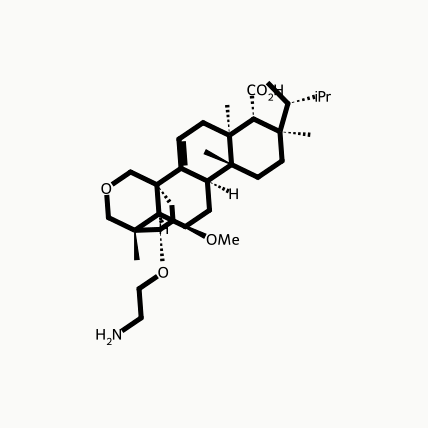 CO[C@@H]1C[C@@]23COC[C@](C)([C@@H]2CC[C@H]2C3=CC[C@@]3(C)[C@H](C(=O)O)[C@@](C)([C@H](C)C(C)C)CC[C@]23C)[C@H]1OCCN